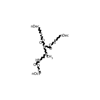 CCCCCCCCCCCCCCSSCCOC(=O)CCN(CCCCN(C)CCCCNCCC(=O)OCCSSCCCCCCCC)CCC(=O)OCCSSCCCCCCCCCCCCCC